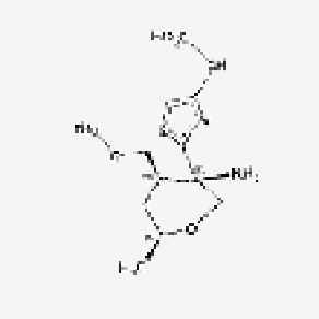 C[C@H]1C[C@@H](COC(C)(C)C)[C@](N)(c2nc(NC(=O)O)cs2)CO1